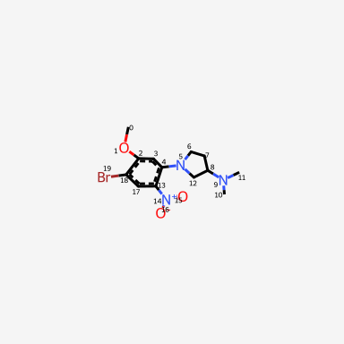 COc1cc(N2CCC(N(C)C)C2)c([N+](=O)[O-])cc1Br